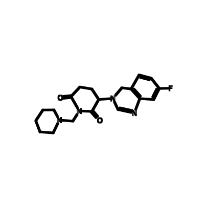 O=C1CCC(N2C=Nc3cc(F)ccc3C2)C(=O)N1CN1CCCCC1